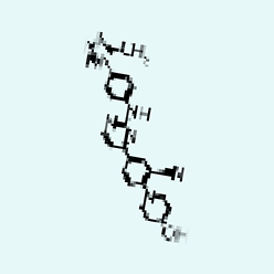 Cc1nnnn1-c1ccc(Nc2nccc(-c3ccc(N4CCC(O)CC4)c(C#N)c3)n2)cc1